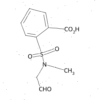 CN(CC=O)S(=O)(=O)c1ccccc1C(=O)O